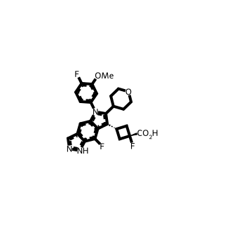 COc1cc(-n2c(C3CCOCC3)c([C@H]3C[C@](F)(C(=O)O)C3)c3c(F)c4[nH]ncc4cc32)ccc1F